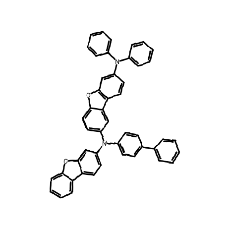 c1ccc(-c2ccc(N(c3ccc4c(c3)oc3ccccc34)c3ccc4oc5cc(N(c6ccccc6)c6ccccc6)ccc5c4c3)cc2)cc1